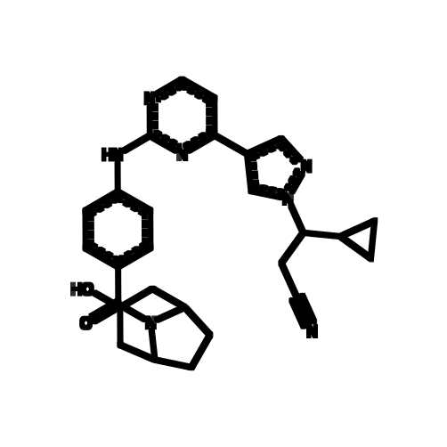 N#CCC(C1CC1)n1cc(-c2ccnc(Nc3ccc(C(=O)N4C5CCC4CC(O)C5)cc3)n2)cn1